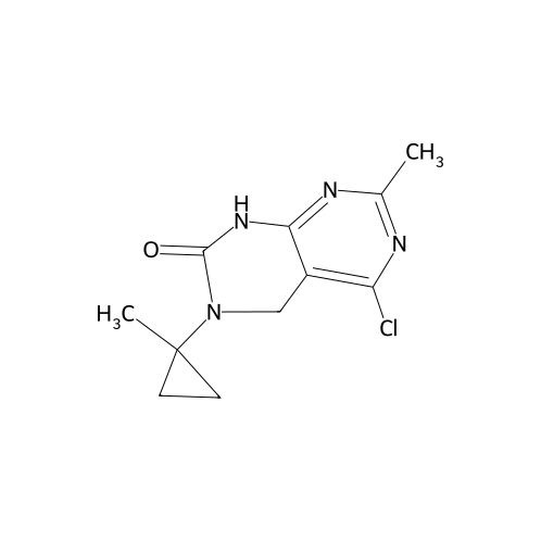 Cc1nc(Cl)c2c(n1)NC(=O)N(C1(C)CC1)C2